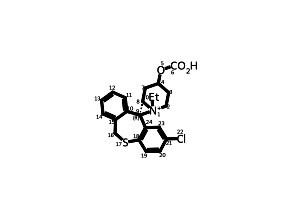 CC[N+]12CCC(OC(=O)O)CC1[C@]21c2ccccc2CSc2ccc(Cl)cc21